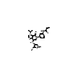 C=CC(=O)Nc1cccc(-n2cc(Nc3cn(C)nc3OC)c3ncn(C(C)C)c3c2=O)c1